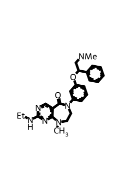 CCNc1ncc2c(n1)N(C)CCN(c1cccc(OC(CNC)c3ccccc3)c1)C2=O